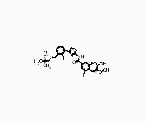 CO/C(=C/c1c(F)cc(C(=O)Nc2nc(-c3cccc(COCC(C)(C)C)c3F)cs2)cc1F)C(=O)O